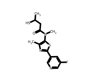 Cc1nc(-c2cncc(F)c2)sc1N(C)C(=O)CC(C)S